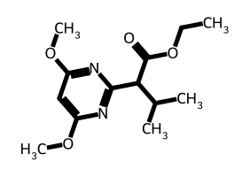 CCOC(=O)C(c1nc(OC)cc(OC)n1)C(C)C